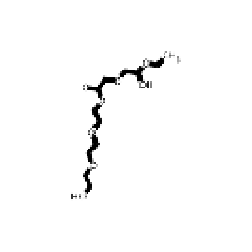 CCOC(O)COCC([O])OCCOCCOCCO